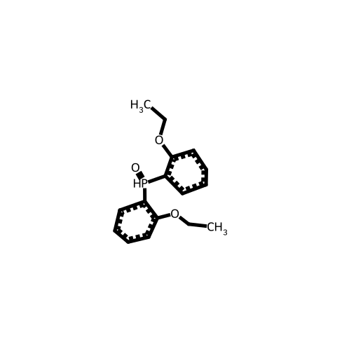 CCOc1ccccc1[PH](=O)c1ccccc1OCC